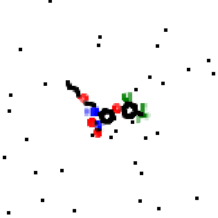 CCCCOCCNc1cc(Oc2ccc(C(F)(F)F)cc2Cl)ccc1[N+](=O)[O-]